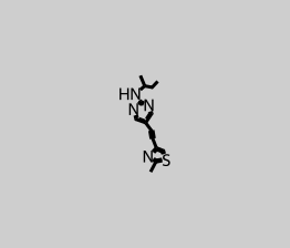 CCC(C)Nc1ncc(C#Cc2csc(C)n2)cn1